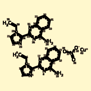 C=Cn1ccnc1-c1nc(N)c2ccccc2n1.C=Cn1ccnc1-c1nc(N)c2ccccc2n1.O=[N+]([O-])[O-].[Cu+]